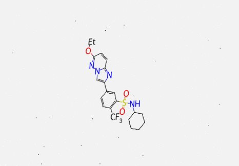 CCOc1ccc2nc(-c3ccc(C(F)(F)F)c(S(=O)(=O)NC4CCCCC4)c3)cn2n1